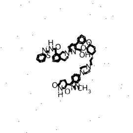 Cn1nc(C2CCC(=O)NC2=O)c2ccc(N3CCN(CCC[C@H]4CC[C@H](Oc5cccc(-c6ccc(N7CCc8cccc(C(=O)Nc9nc%10ccccc%10s9)c8C7)nc6C(=O)O)c5)CC4)CC3)cc21